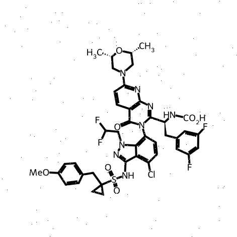 COc1ccc(CC2(S(=O)(=O)Nc3nn(CC(F)F)c4c(-n5c([C@H](Cc6cc(F)cc(F)c6)NC(=O)O)nc6nc(N7C[C@@H](C)O[C@@H](C)C7)ccc6c5=O)ccc(Cl)c34)CC2)cc1